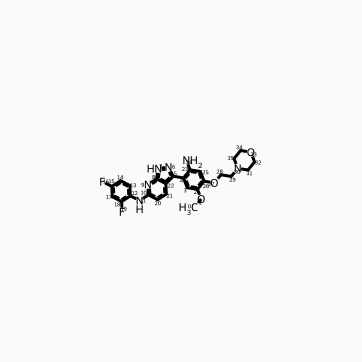 COc1cc(-c2n[nH]c3nc(Nc4ccc(F)cc4F)ccc23)c(N)cc1OCCN1CCOCC1